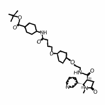 CN1C(=O)C[C@H](C(=O)NCCOC2CCC(OCCCC(=O)NC3CCC(C(=O)OC(C)(C)C)CC3)CC2)[C@H]1c1cccnc1